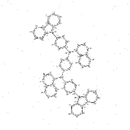 c1ccc2c(N(c3ccc(N(c4ccc(-n5c6ccccc6c6ccccc65)cc4)c4cccc5ccccc45)cc3)c3ccc(-n4c5ccccc5c5ccccc54)cc3)cccc2c1